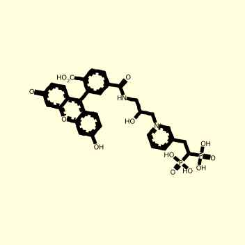 O=C(NCC(O)C[n+]1cccc(CC(P(=O)(O)O)P(=O)(O)O)c1)c1ccc(C(=O)O)c(-c2c3ccc(=O)cc-3oc3cc(O)ccc23)c1